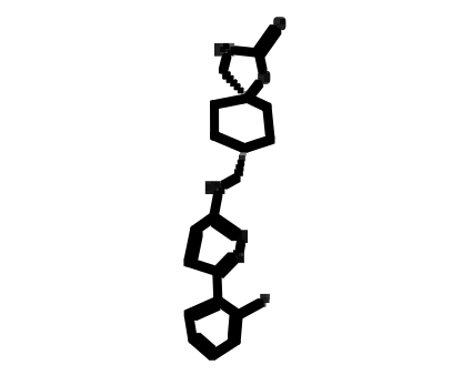 O=C1NC[C@]2(CC[C@@H](CNc3ccc(-c4ccccc4F)nn3)CC2)O1